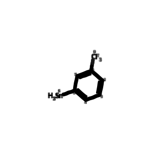 FC(F)(F)c1ccc[c]([SnH3])c1